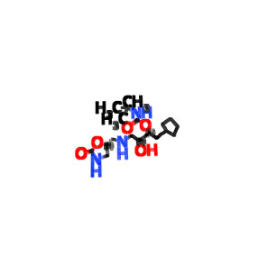 CC(C)(C)NC(=O)O[C@@H](CC1CCCC1)[C@H](O)CNC[C@@H]1CNC(=O)O1